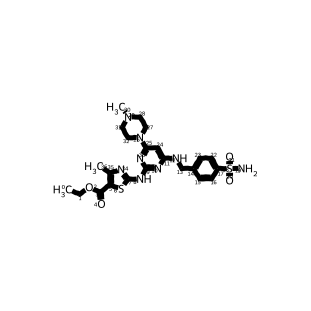 CCOC(=O)c1sc(Nc2nc(NCc3ccc(S(N)(=O)=O)cc3)cc(N3CCN(C)CC3)n2)nc1C